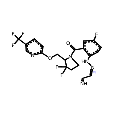 N=C/C=N\Nc1ccc(F)cc1C(=O)N1CCC(F)(F)C1COc1ccc(C(F)(F)F)cn1